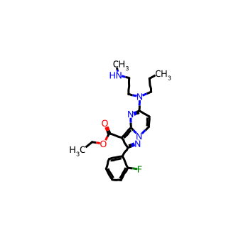 CCCN(CCNC)c1ccn2nc(-c3ccccc3F)c(C(=O)OCC)c2n1